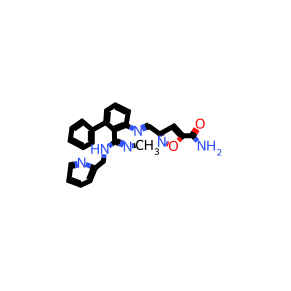 C/N=C(/NCc1ccccn1)c1c(/N=C/c2cc(C(N)=O)on2)cccc1-c1ccccc1